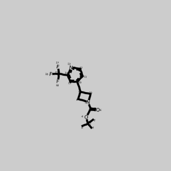 CC(C)(C)OC(=O)N1CC(c2ccnc(C(F)(F)F)c2)C1